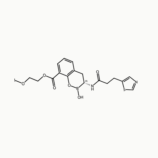 O=C(CCc1cncs1)N[C@H]1Cc2cccc(C(=O)OCCOI)c2OB1O